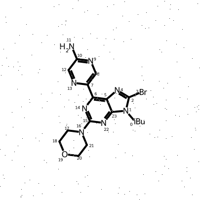 CCC(C)n1c(Br)nc2c(-c3cnc(N)cn3)nc(N3CCOCC3)nc21